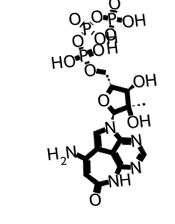 C[C@@]1(O)[C@H](O)[C@@H](COP(=O)(O)OP(=O)(O)OP(=O)(O)O)O[C@H]1n1cc2c3c(ncnc31)NC(=O)C=C2N